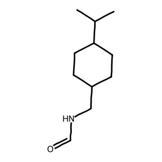 CC(C)C1CCC(CNC=O)CC1